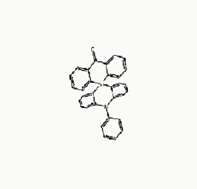 O=C1c2ccccc2[Si]2(c3ccccc31)c1ccccc1N(c1ccccc1)c1ccccc12